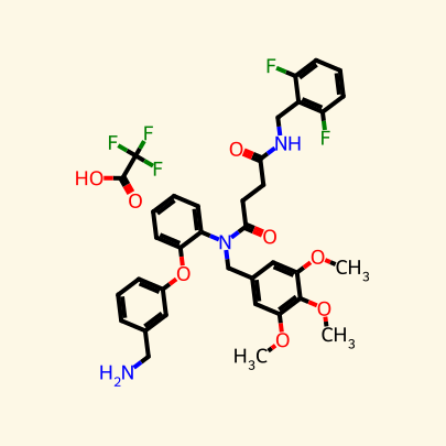 COc1cc(CN(C(=O)CCC(=O)NCc2c(F)cccc2F)c2ccccc2Oc2cccc(CN)c2)cc(OC)c1OC.O=C(O)C(F)(F)F